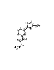 CC(C)c1csc(-c2cccc(NC(=O)CN)n2)n1